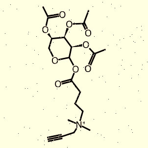 C#CC[N+](C)(C)CCCC(=O)OC1OC[C@@H](OC(C)=O)[C@@H](OC(C)=O)[C@H]1OC(C)=O